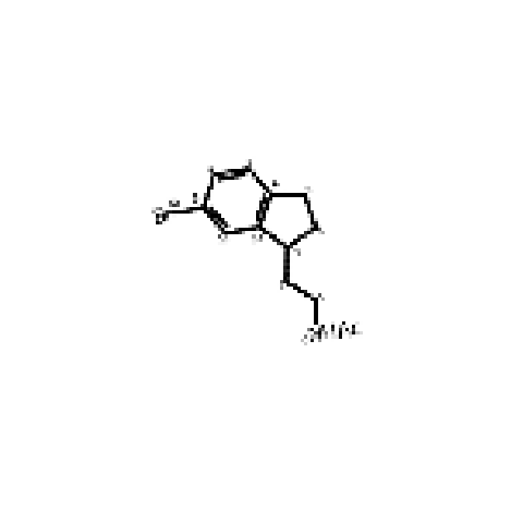 CC(=O)NCCC1CCc2ccc(Br)cc21